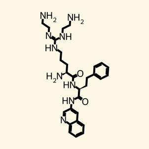 NCC/N=C(\NCCN)NCCC[C@H](N)C(=O)N[C@@H](CCc1ccccc1)C(=O)Nc1cnc2ccccc2c1